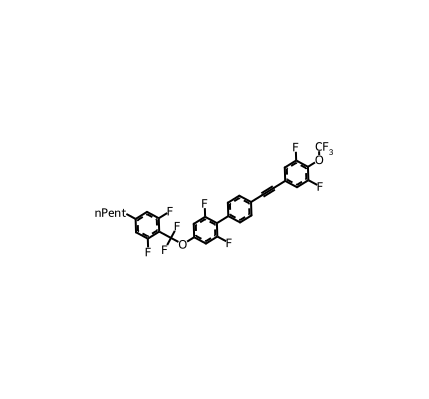 CCCCCc1cc(F)c(C(F)(F)Oc2cc(F)c(-c3ccc(C#Cc4cc(F)c(OC(F)(F)F)c(F)c4)cc3)c(F)c2)c(F)c1